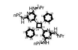 CCCNc1cc([C@H]2[C@H](c3ccccc3)[C@@H](c3cc(NCCC)nc(NCCC)n3)[C@@H]2c2ccccc2)nc(NCCC)n1